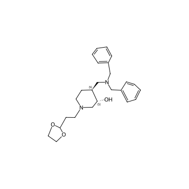 O[C@@H]1CN(CCC2OCCO2)CC[C@H]1CN(Cc1ccccc1)Cc1ccccc1